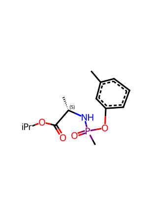 Cc1cccc(OP(C)(=O)N[C@@H](C)C(=O)OC(C)C)c1